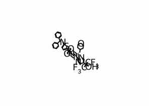 O=S(=O)(c1ccc(N=C(c2ccccc2)c2ccccc2)s1)N1CCN(c2ncc(C(O)(C(F)(F)F)C(F)(F)F)cn2)[C@@H](CC2CCOCC2)C1